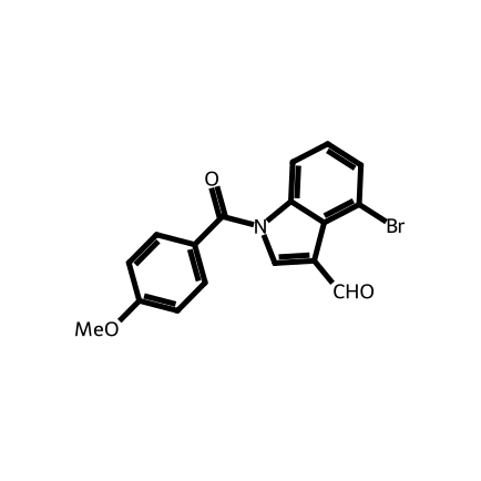 COc1ccc(C(=O)n2cc(C=O)c3c(Br)cccc32)cc1